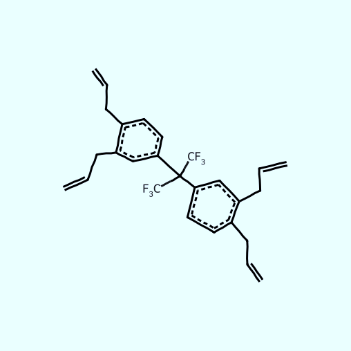 C=CCc1ccc(C(c2ccc(CC=C)c(CC=C)c2)(C(F)(F)F)C(F)(F)F)cc1CC=C